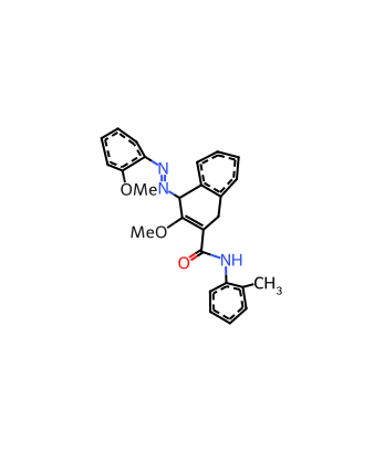 COC1=C(C(=O)Nc2ccccc2C)Cc2ccccc2C1N=Nc1ccccc1OC